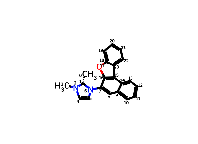 C[C@H]1N(C)C=CN1c1cc2ccccc2c2c1oc1ccccc12